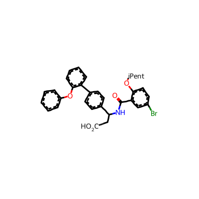 CCCC(C)Oc1ccc(Br)cc1C(=O)NC(CC(=O)O)c1ccc(-c2ccccc2Oc2ccccc2)cc1